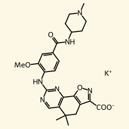 COc1cc(C(=O)NC2CCN(C)CC2)ccc1Nc1ncc2c(n1)-c1onc(C(=O)[O-])c1CC2(C)C.[K+]